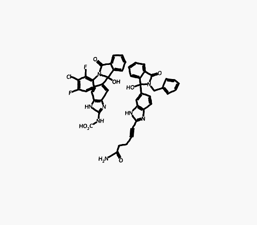 NC(=O)CCC#Cc1nc2ccc(C3(O)c4ccccc4C(=O)N3Cc3ccccc3)cc2[nH]1.O=C(O)Nc1nc2cc(C3(O)c4ccccc4C(=O)N3c3ccc(F)c(Cl)c3F)ccc2[nH]1